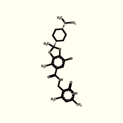 Cc1cc(C)c(CNC(=O)c2cc(Br)c3c(c2C)OC(C)([C@H]2CC[C@@H](N(C)C)CC2)O3)c(=O)[nH]1